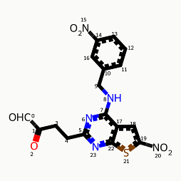 O=CC(=O)CCc1nc(NCc2cccc([N+](=O)[O-])c2)c2cc([N+](=O)[O-])sc2n1